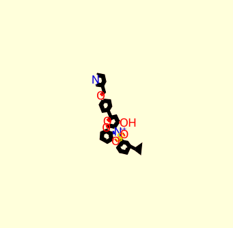 C[N+](c1ccccc1)(c1c(O)cc(-c2ccc(OCc3cccnc3)cc2)oc1=O)S(=O)(=O)c1cccc(C2CC2)c1